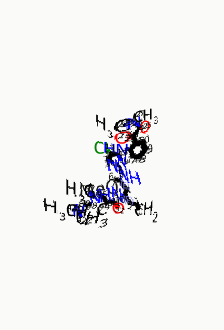 C=C/C=C(\C=C(/COC)Nc1ncc(Cl)c(Nc2ccccc2C(=O)C(=O)N(C)C)n1)NC(=O)C(=C)CN(C)CCN(C)C